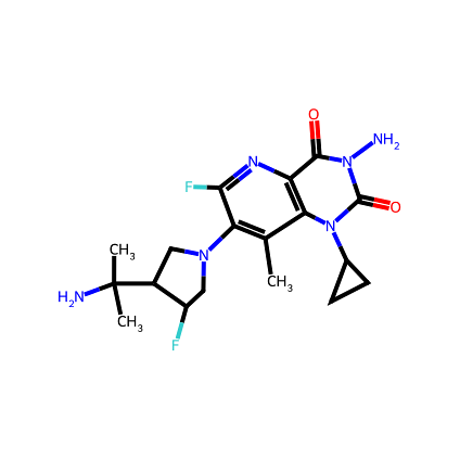 Cc1c(N2CC(F)C(C(C)(C)N)C2)c(F)nc2c(=O)n(N)c(=O)n(C3CC3)c12